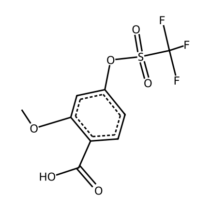 COc1cc(OS(=O)(=O)C(F)(F)F)ccc1C(=O)O